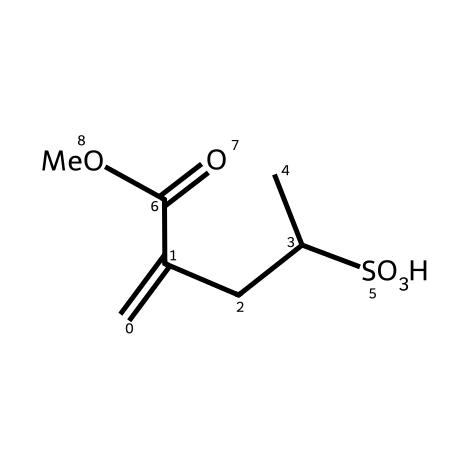 C=C(CC(C)S(=O)(=O)O)C(=O)OC